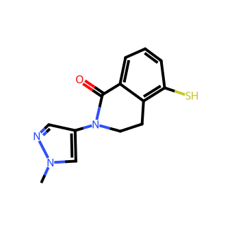 Cn1cc(N2CCc3c(S)cccc3C2=O)cn1